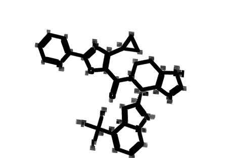 O=C(c1oc(-c2ccccn2)nc1C1CC1)N1CCc2[nH]cnc2[C@@H]1c1cc2c(C(F)(F)F)cccn2n1